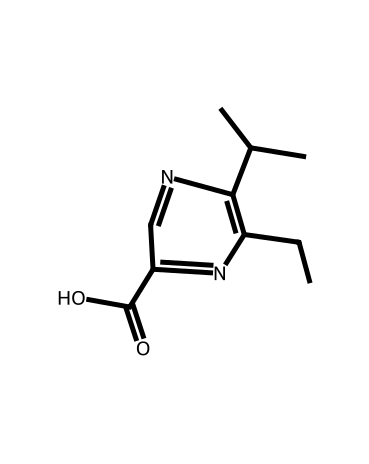 CCc1nc(C(=O)O)cnc1C(C)C